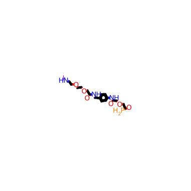 O=C(P)COCC(=O)Nc1ccc(CNC(=O)COCCOCCNI)cc1